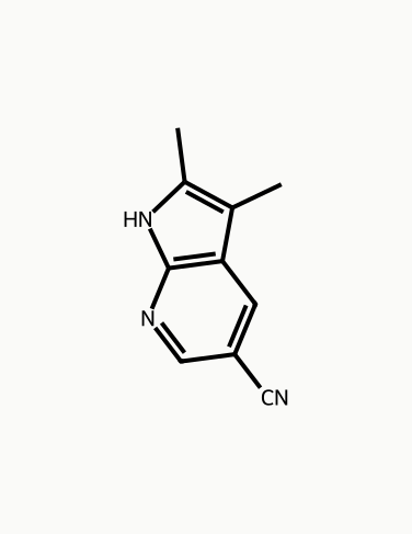 Cc1[nH]c2ncc(C#N)cc2c1C